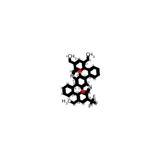 CCc1ccc(-c2ccccc2-c2c3ncoc3c(-c3ccccc3-c3ccc(C(F)(F)F)cc3CC)c3ncoc23)c(CC)c1